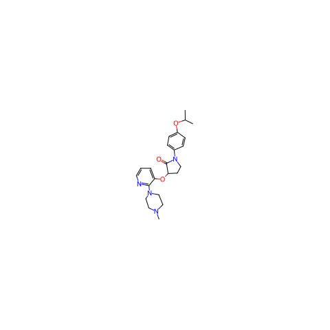 CC(C)Oc1ccc(N2CCC(Oc3cccnc3N3CCN(C)CC3)C2=O)cc1